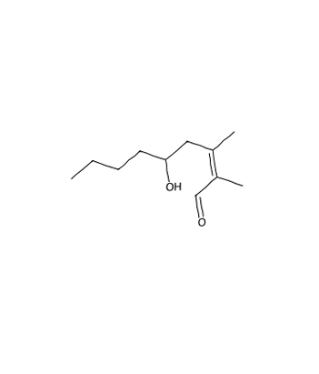 CCCCC(O)CC(C)=C(C)C=O